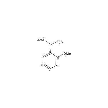 COc1ccccc1C(C)NC(C)=O